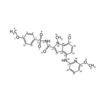 COc1ccc(S(=O)(=O)NC(=O)c2cc3c(Nc4cccc(OC)n4)ccc(Cl)c3n2C)cc1